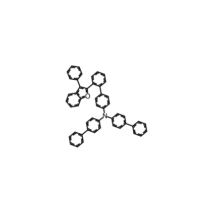 c1ccc(-c2ccc(N(c3ccc(-c4ccccc4)cc3)c3ccc(-c4ccccc4-c4oc5ccccc5c4-c4ccccc4)cc3)cc2)cc1